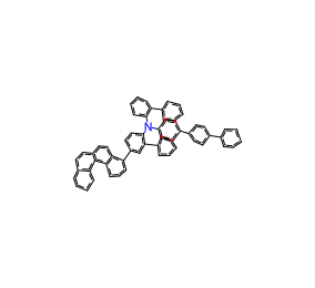 c1ccc(-c2ccc(-c3ccc(N(c4ccccc4-c4ccccc4)c4ccc(-c5cccc6c5ccc5ccc7ccccc7c56)cc4-c4ccccc4)cc3)cc2)cc1